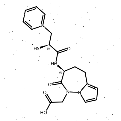 O=C(O)CN1C(=O)[C@@H](NC(=O)[C@@H](S)Cc2ccccc2)CCc2cccn21